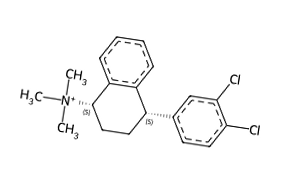 C[N+](C)(C)[C@H]1CC[C@@H](c2ccc(Cl)c(Cl)c2)c2ccccc21